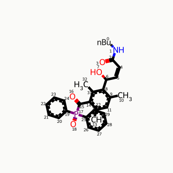 CCCCNC(=O)/C=C\C(O)c1c(C)cc(C)c(C(=O)P(=O)(c2ccccc2)c2ccccc2)c1C